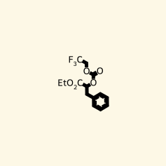 CCOC(=O)C(Cc1ccccc1)OC(=O)OCC(F)(F)F